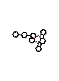 C1=CC2c3ccccc3N(c3ccc(C4=CC=C(c5ccccc5)CC4)cc3)C2c2c1c1ccccc1n2-c1ccccc1